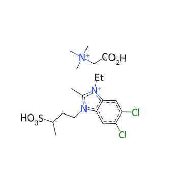 CC[n+]1c(C)n(CCC(C)S(=O)(=O)O)c2cc(Cl)c(Cl)cc21.C[N+](C)(C)CC(=O)O